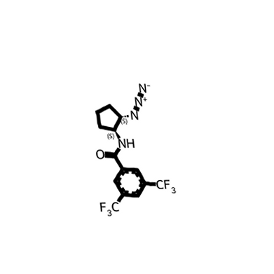 [N-]=[N+]=N[C@H]1CCC[C@@H]1NC(=O)c1cc(C(F)(F)F)cc(C(F)(F)F)c1